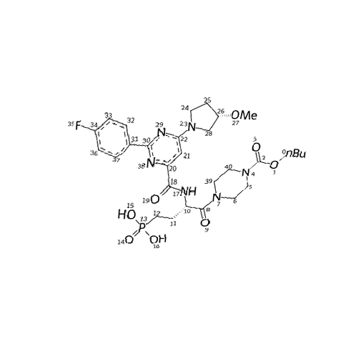 CCCCOC(=O)N1CCN(C(=O)[C@H](CCP(=O)(O)O)NC(=O)c2cc(N3CC[C@H](OC)C3)nc(-c3ccc(F)cc3)n2)CC1